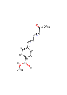 COC(=O)/C=C/C=C/c1ccc(C(=O)OC(C)(C)C)cc1